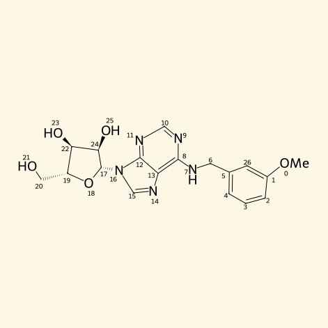 COc1cccc(CNc2ncnc3c2ncn3[C@@H]2O[C@H](CO)[C@@H](O)[C@H]2O)c1